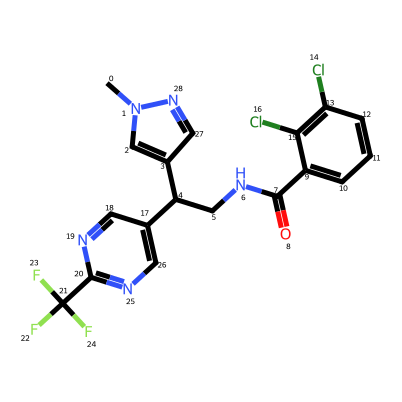 Cn1cc(C(CNC(=O)c2cccc(Cl)c2Cl)c2cnc(C(F)(F)F)nc2)cn1